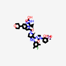 Cc1cc(-n2nc3c(c2-n2ccn(-c4cccc(P(C)(C)=O)c4O)c2=O)[C@H](C)N(C(=O)c2cc4cc(C5CCOCC5)ccc4n2[C@@]2(C4=NOC(O)N4)C[C@@H]2C)CC3)cc(C)c1F